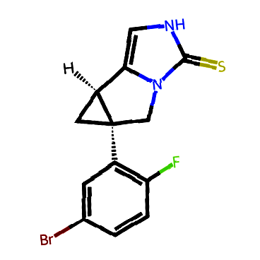 Fc1ccc(Br)cc1[C@]12C[C@H]1c1c[nH]c(=S)n1C2